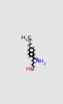 CCSCC[C@@H]1CCc2cc([C@H](CN)CCCCO)ccc2C1